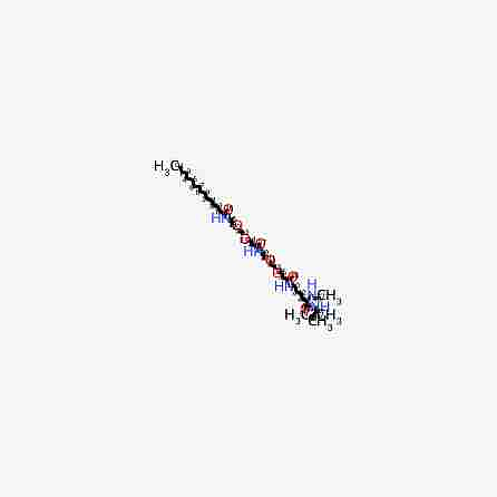 CCCCCCCCCCCCCCCC(=O)NCCOCCOCCC(=O)NCCOCCOCCC(=O)NCCCCC(NCC)C(=O)NC(C)C(C)C